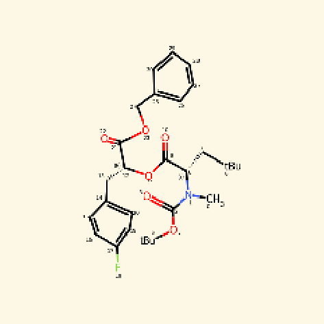 CN(C(=O)OC(C)(C)C)[C@@H](CC(C)(C)C)C(=O)O[C@H](Cc1ccc(F)cc1)C(=O)OCc1ccccc1